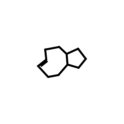 C1=C/CCC2CCCC2CC/1